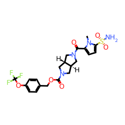 Cn1c(C(=O)N2C[C@H]3CN(C(=O)OCc4ccc(OC(F)(F)F)cc4)C[C@@H]3C2)ccc1S(N)(=O)=O